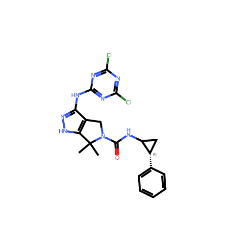 CC1(C)c2[nH]nc(Nc3nc(Cl)nc(Cl)n3)c2CN1C(=O)NC1C[C@@H]1c1ccccc1